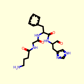 NCCCC(=O)NCC(=O)NC(Cc1ccccc1)C(=O)NC([C]=O)Cc1c[nH]cn1